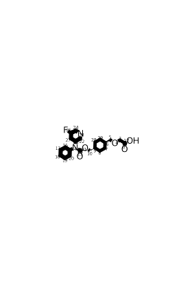 O=C(O)COC[C@H]1CC[C@H](COC(=O)N(c2ccccc2)c2cncc(F)c2)CC1